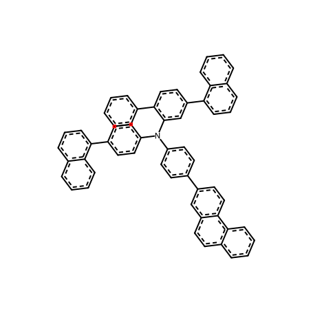 c1ccc(-c2ccc(-c3cccc4ccccc34)cc2N(c2ccc(-c3ccc4c(ccc5ccccc54)c3)cc2)c2ccc(-c3cccc4ccccc34)cc2)cc1